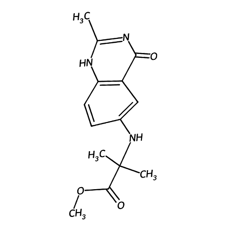 COC(=O)C(C)(C)Nc1ccc2[nH]c(C)nc(=O)c2c1